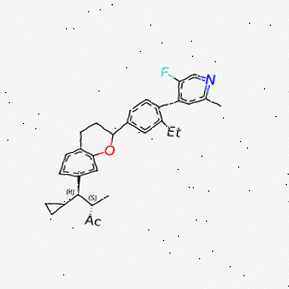 CCc1cc(C2CCc3ccc([C@H](C4CC4)[C@H](C)C(C)=O)cc3O2)ccc1-c1cc(C)ncc1F